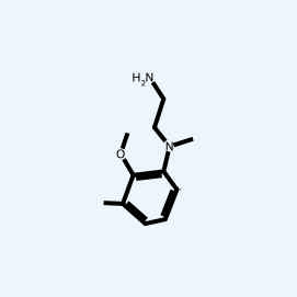 COc1c(N(C)CCN)[c]ccc1C